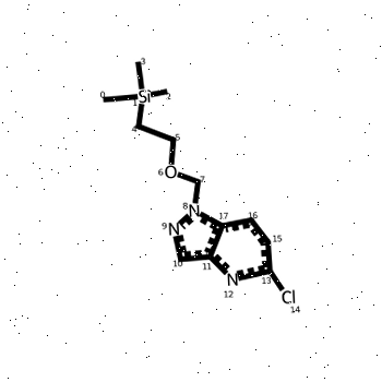 C[Si](C)(C)CCOCn1ncc2nc(Cl)ccc21